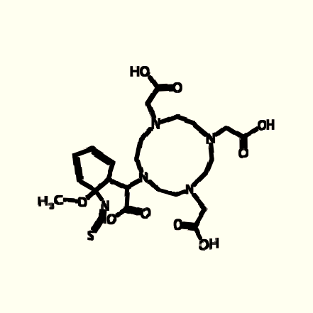 COC1(N=C=S)C=CC=CC1C(C(=O)O)N1CCN(CC(=O)O)CCN(CC(=O)O)CCN(CC(=O)O)CC1